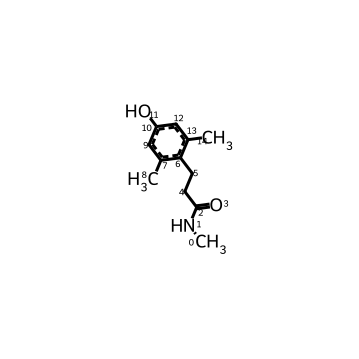 CNC(=O)CCc1c(C)cc(O)cc1C